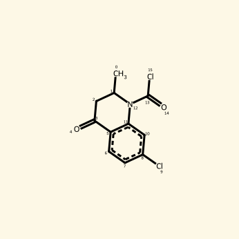 CC1CC(=O)c2ccc(Cl)cc2N1C(=O)Cl